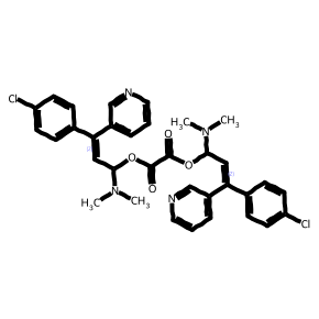 CN(C)C(/C=C(/c1ccc(Cl)cc1)c1cccnc1)OC(=O)C(=O)OC(/C=C(/c1ccc(Cl)cc1)c1cccnc1)N(C)C